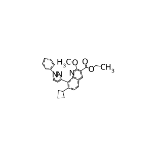 CCOC(=O)c1cc2ccc(C3CCC3)c(-c3ccn(-c4ccccc4)n3)c2nc1OC